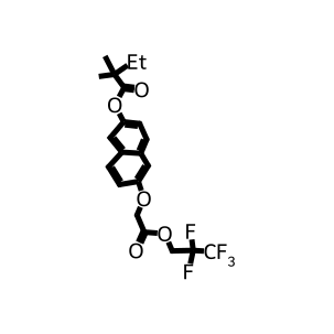 CCC(C)(C)C(=O)Oc1ccc2cc(OCC(=O)OCC(F)(F)C(F)(F)F)ccc2c1